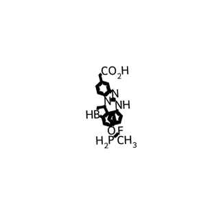 CC(F)(P)Oc1ccc(Nc2nc3cc(CC(=O)O)ccc3n2C2CBc3ccccc32)cc1